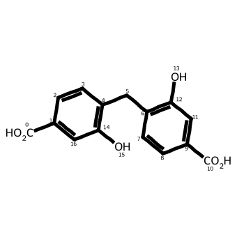 O=C(O)c1ccc(Cc2ccc(C(=O)O)cc2O)c(O)c1